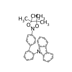 CC1(C)ON(c2ccc(-c3ccccc3-n3c4ccccc4c4ccccc43)cc2)OC1(C)C